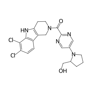 O=C(c1ncc(N2CCCC2CO)cn1)N1CCc2[nH]c3c(Cl)c(Cl)ccc3c2C1